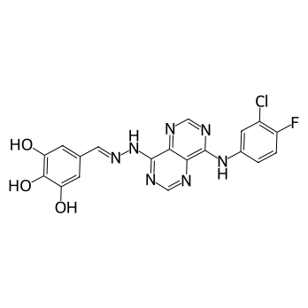 Oc1cc(C=NNc2ncnc3c(Nc4ccc(F)c(Cl)c4)ncnc23)cc(O)c1O